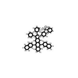 CC1(C)c2ccccc2-c2ccc(-n3c(-c4ccccc4)c(-c4ccccc4)c4cc5c(-c6ccc7ccccc7c6)c6ccccc6c(-c6ccc7ccccc7c6)c5cc43)cc21